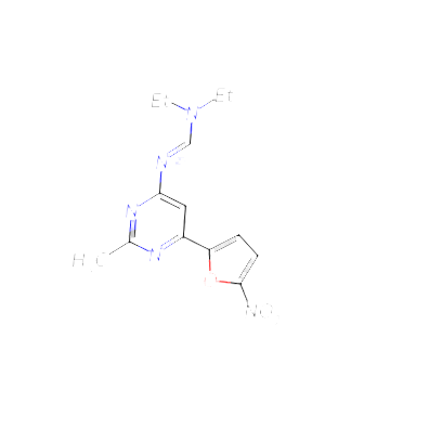 CCN(/C=N/c1cc(-c2ccc([N+](=O)[O-])o2)nc(C)n1)CC